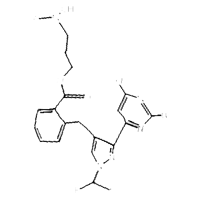 CN(C)CCCOC(=O)c1ccccc1Cc1cn(C(F)F)nc1-c1cc(Cl)nc(N)n1